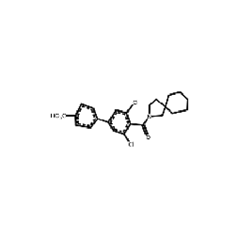 O=C(O)c1ccc(-c2cc(Cl)c(C(=O)N3CCC4(CCCCC4)C3)c(Cl)c2)cc1